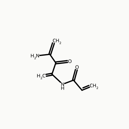 C=CC(=O)NC(=C)C(=O)C(=C)N